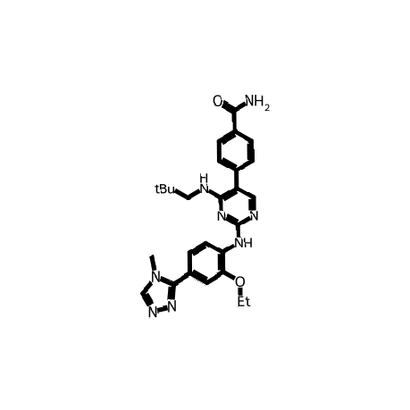 CCOc1cc(-c2nncn2C)ccc1Nc1ncc(-c2ccc(C(N)=O)cc2)c(NCC(C)(C)C)n1